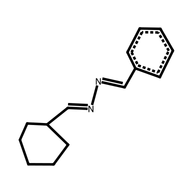 C(=NN=CC1CCCCC1)c1ccccc1